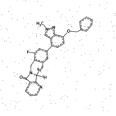 [2H]C1([2H])c2ncccc2C(=O)N1Cc1c(F)cc(-c2ccc(OCc3ccccc3)c3nn(C)cc23)cc1F